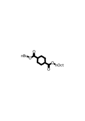 CCCCCCCCOC(=O)C1CCC(C(=O)OCCCC)CC1